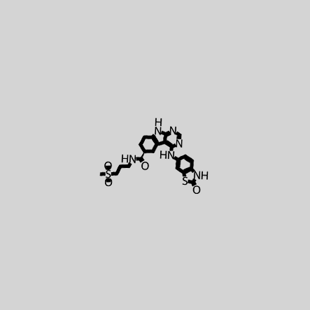 CS(=O)(=O)CCCNC(=O)[C@H]1CCc2[nH]c3ncnc(Nc4ccc5[nH]c(=O)sc5c4)c3c2C1